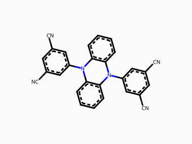 N#Cc1cc(C#N)cc(N2c3ccccc3N(c3cc(C#N)cc(C#N)c3)c3ccccc32)c1